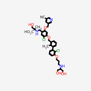 Cc1c(COc2cc(OCc3cncc(C#N)c3)c(CN[C@](C)(CO)C(=O)O)cc2Cl)cccc1-c1cccc(OCCCNC(CO)CO)c1Cl